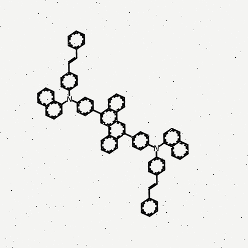 C(=Cc1ccc(N(c2ccc(-c3cc4c5ccccc5c(-c5ccc(N(c6ccc(C=Cc7ccccc7)cc6)c6cccc7ccccc67)cc5)cc4c4ccccc34)cc2)c2cccc3ccccc23)cc1)c1ccccc1